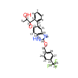 CC(O)C(=O)c1ccccc1-c1ccc2[nH]c(OCc3ccc(C(F)(F)F)cc3)nc2c1